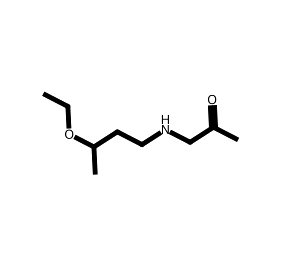 CCOC(C)CCNCC(C)=O